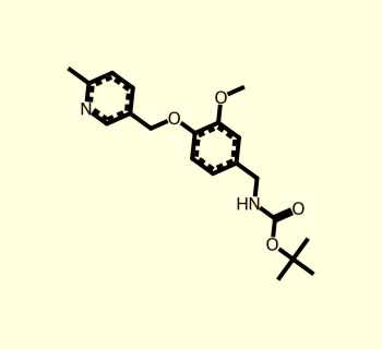 COc1cc(CNC(=O)OC(C)(C)C)ccc1OCc1ccc(C)nc1